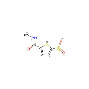 CC(C)NC(=O)c1ccc([SH](=O)=O)s1